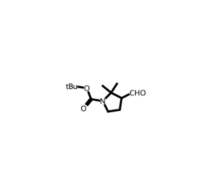 CC(C)(C)OC(=O)N1CCC(C=O)C1(C)C